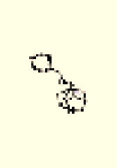 c1ccc(CO/N=C2/C3CC4CC2N(C4)C3)cc1